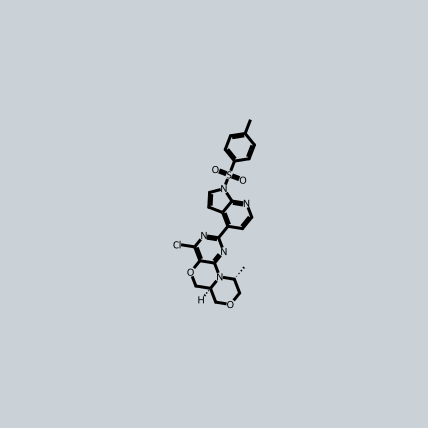 Cc1ccc(S(=O)(=O)n2ccc3c(-c4nc(Cl)c5c(n4)N4[C@@H](COC[C@H]4C)CO5)ccnc32)cc1